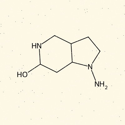 NN1CCC2CNC(O)CC21